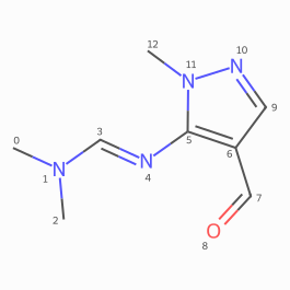 CN(C)C=Nc1c(C=O)cnn1C